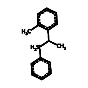 Cc1ccccc1C(C)[SiH2]c1ccccc1